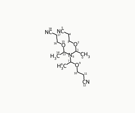 CC(OCCC#N)N(C(C)OCCC#N)C(C)OCCC#N